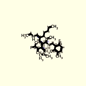 C=CCCCC(=C/NC=C)/C=C(C(=C/N(C)C)/C(=C)C(C)F)\C(=N\C)NCc1c(F)ccc(C)c1C